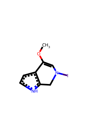 COC1=CN(I)Cc2[nH]ccc21